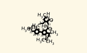 CCCc1cc(C)[nH]c(=O)c1CNC(=O)c1cc(-c2ccc(CN(C)C)cc2)cc2c1c(C)cn2C(C)C